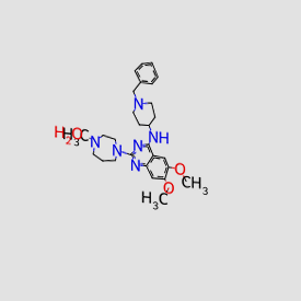 COc1cc2nc(N3CCCN(C)CC3)nc(NC3CCN(Cc4ccccc4)CC3)c2cc1OC.O